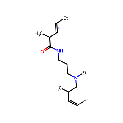 CC/C=C\C(C)CN(CC)CCCNC(=O)C(C)/C=C/CC